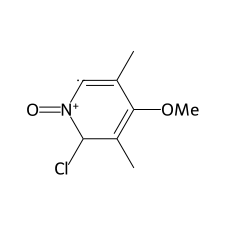 COC1=C(C)C(Cl)[N+](=O)[C]=C1C